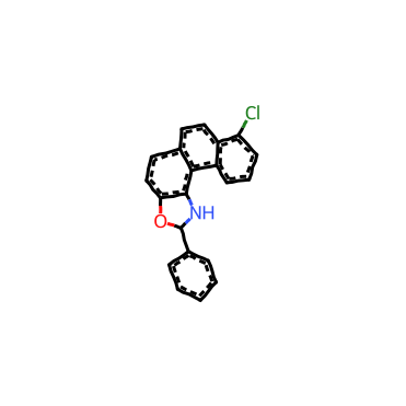 Clc1cccc2c1ccc1ccc3c(c12)NC(c1ccccc1)O3